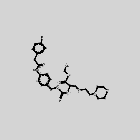 N#CCOC(=O)C(COCCN1CCOCC1)NC(=O)OCc1ccc(NC(=O)Cc2ccc(F)cc2)cc1